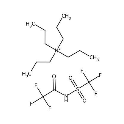 CCC[N+](CCC)(CCC)CCC.O=C(NS(=O)(=O)C(F)(F)F)C(F)(F)F